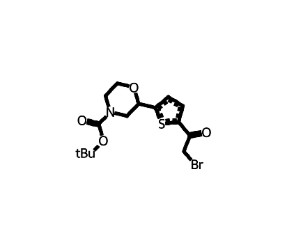 CC(C)(C)OC(=O)N1CCOC(c2ccc(C(=O)CBr)s2)C1